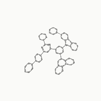 c1ccc(-c2ccc(-c3cc(-c4cc(-c5cc6ccccc6c6ccccc56)cc(-n5c6ccccc6c6ccc(-c7ccccc7)cc65)c4)nc(-c4ccccc4)n3)cc2)cc1